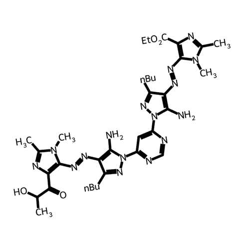 CCCCc1nn(-c2cc(-n3nc(CCCC)c(/N=N/c4c(C(=O)C(C)O)nc(C)n4C)c3N)ncn2)c(N)c1/N=N/c1c(C(=O)OCC)nc(C)n1C